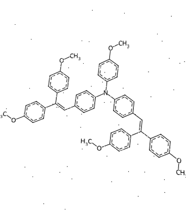 COc1ccc(C(=Cc2ccc(N(c3ccc(C=C(c4ccc(OC)cc4)c4ccc(OC)cc4)cc3)c3ccc(OC)cc3)cc2)c2ccc(OC)cc2)cc1